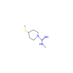 CNC(=N)N1CCC(SC)CC1